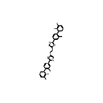 Cc1cc(-c2nc(CCc3csc(-c4ccc(-c5cccc(C)c5C)c(C)c4)n3)cs2)ccc1-c1cccc(C)c1C